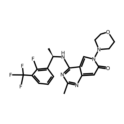 Cc1nc(N[C@H](C)c2cccc(C(F)(F)F)c2F)c2cn(N3CCOCC3)c(=O)cc2n1